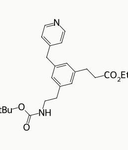 CCOC(=O)CCc1cc(CCNC(=O)OC(C)(C)C)cc(Cc2ccncc2)c1